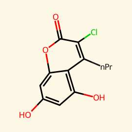 CCCc1c(Cl)c(=O)oc2cc(O)cc(O)c12